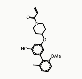 C=CC(=O)N1CCC(Oc2cc(C#N)cc(-c3c(C)cccc3OC)c2)CC1